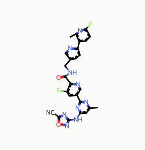 Cc1cc(Nc2noc(C#N)n2)nc(-c2cnc(C(=O)NCc3ccc(-c4ccc(F)nc4C)nc3)c(F)c2)n1